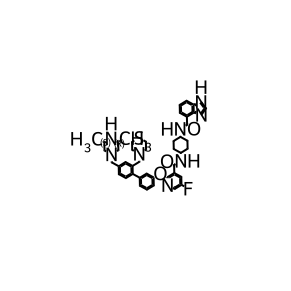 C[C@@H]1CN(Cc2ccc(-c3cccc(Oc4ncc(F)cc4C(=O)N[C@H]4CC[C@H](NC(=O)c5cccc6[nH]cnc56)CC4)c3)c(CN3CCSCC3)c2)C[C@H](C)N1